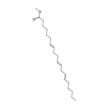 CCCCC/C=C/C/C=C/CC/C=C/CCCCCC(=O)OC